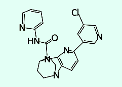 O=C(Nc1ccccn1)N1c2nc(-c3cncc(Cl)c3)ccc2N2CCC1CC2